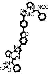 COC(=O)N[C@@H](C(=O)N1CCC[C@H]1c1nc(-c2ccc3oc(-c4ccc(-c5cnc([C@@H]6CCCN6C(=O)[C@H](NC(=O)O)c6ccccc6)[nH]5)cc4)cc3c2)c[nH]1)c1ccccc1